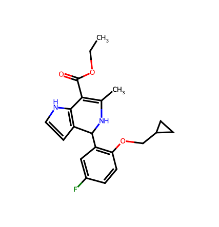 CCOC(=O)C1=C(C)NC(c2cc(F)ccc2OCC2CC2)c2cc[nH]c21